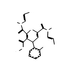 CC=CN(C)C(=O)C1=CC(c2ccccc2[N+](=O)[O-])C(C(=O)OCCCCCCC)=C(C(=O)N(C)C=CC)N1